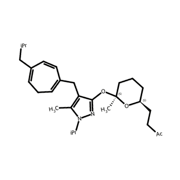 CC(=O)CC[C@@H]1CCC[C@](C)(Oc2nn(C(C)C)c(C)c2CC2=CCC=C(CC(C)C)C=C2)O1